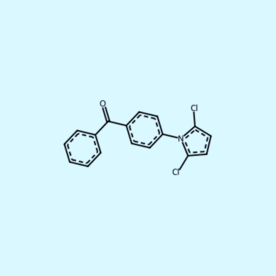 O=C(c1ccccc1)c1ccc(-n2c(Cl)ccc2Cl)cc1